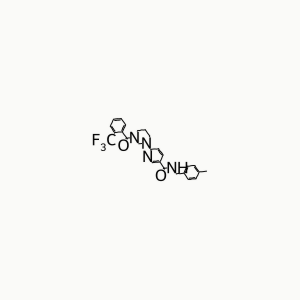 Cc1ccc(CNC(=O)c2ccc(N3CCCN(C(=O)c4ccccc4C(F)(F)F)C3)nc2)cc1